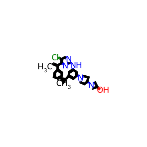 C/C=C(\c1ccc(C)cc1)c1nc(Nc2cc(C3CC3)cc(N3CCC(N4CC(O)C4)CC3)c2)ncc1Cl